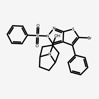 O=S(=O)(c1ccccc1)n1nc2sc(Br)c(-c3ccccc3)c2c1N1C2CCC1CC(O)C2